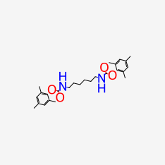 Cc1cc(C)c(OC(=O)NCCCCCCNC(=O)Oc2c(C)cc(C)cc2C)c(C)c1